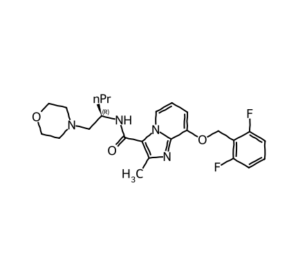 CCC[C@H](CN1CCOCC1)NC(=O)c1c(C)nc2c(OCc3c(F)cccc3F)cccn12